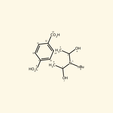 CCCCN(C(C)O)C(C)O.O=C(O)c1ccc(C(=O)O)cc1